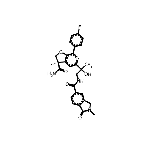 CN1Cc2cc(C(=O)NCC(O)(c3cc4c(c(-c5ccc(F)cc5)n3)OC[C@]4(C)C(N)=O)C(F)(F)F)ccc2C1=O